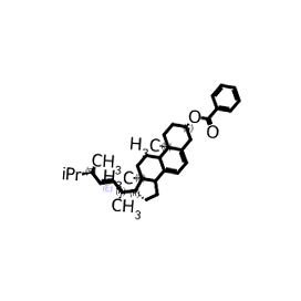 CC(C)[C@@H](C)/C=C/[C@@H](C)[C@H]1CCC2C3=CC=C4C[C@@H](OC(=O)c5ccccc5)CC[C@]4(C)C3CC[C@@]21C